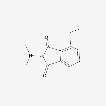 CCc1cccc2c1C(=O)N(N(C)C)C2=O